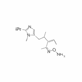 C/C=C(\C(C)=N/ON)C(C)Cc1cnc(C(C)C)n1C